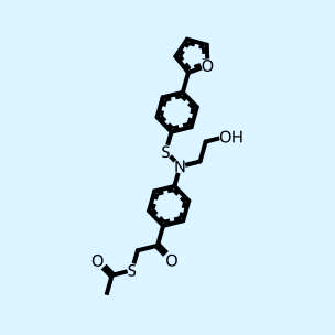 CC(=O)SCC(=O)c1ccc(N(CCO)Sc2ccc(-c3ccco3)cc2)cc1